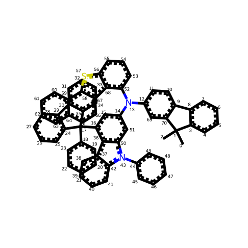 CC1(C)c2ccccc2-c2ccc(N(c3cc(C4(c5ccccc5)c5ccccc5-c5ccccc54)c4c5ccccc5n(-c5ccccc5)c4c3)c3cccc4sc5c6ccccc6ccc5c34)cc21